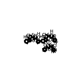 O=c1[nH]c2sc(Cl)c(-c3ccc4c(c3O)CCCC4)c2c(O)c1-c1ccc(F)cc1.O=c1[nH]c2sc(Cl)c(-c3cnnnn3)c2c(O)c1-c1ccccc1.Oc1nc2sc(Cl)c(-c3ccc4c(c3O)CCCC4)c2c(O)c1-c1ccccc1